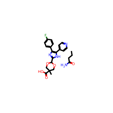 CC1(C(=O)O)COC(c2nc(-c3ccc(F)cc3)c(-c3ccncc3)[nH]2)OC1.CCCC(N)=O